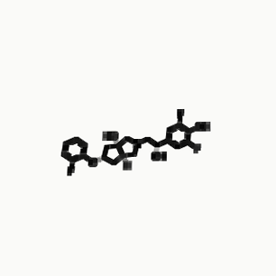 Oc1c(F)cc([C@H](O)CN2C[C@H]3C[C@H](Oc4ccccc4F)C[C@@]3(O)C2)cc1F